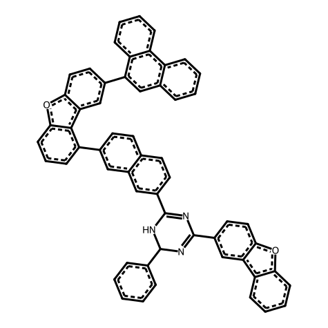 c1ccc(C2N=C(c3ccc4oc5ccccc5c4c3)N=C(c3ccc4ccc(-c5cccc6oc7ccc(-c8cc9ccccc9c9ccccc89)cc7c56)cc4c3)N2)cc1